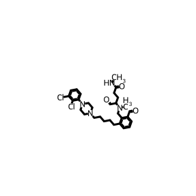 CNC(=O)CCC(C=O)N(C)Cc1c(C=O)cccc1CCCCCN1CCN(c2cccc(Cl)c2Cl)CC1